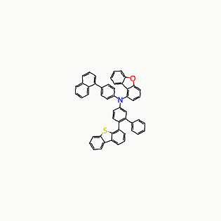 c1ccc(-c2cc(N(c3ccc(-c4cccc5ccccc45)cc3)c3cccc4oc5ccccc5c34)ccc2-c2cccc3c2sc2ccccc23)cc1